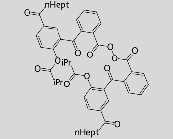 CCCCCCCC(=O)c1ccc(OC(=O)C(C)C)c(C(=O)c2ccccc2C(=O)OOC(=O)c2ccccc2C(=O)c2cc(C(=O)CCCCCCC)ccc2OC(=O)C(C)C)c1